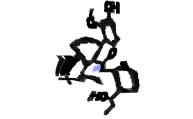 C=CC(O)c1ccsc1/C=C1\Oc2ccc(O)c(OC)c2-c2ccc3c(c21)C(C)=CC(C)(C)N3